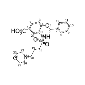 O=C(O)c1ccc(OCc2ccccc2)c(NS(=O)(=O)CCCN2CCOCC2)c1